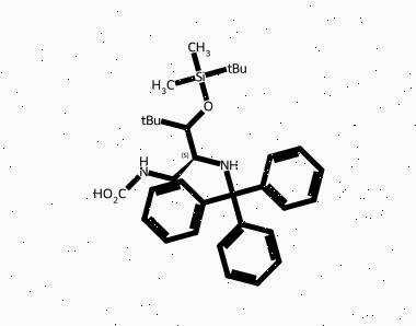 CC(C)(C)C(O[Si](C)(C)C(C)(C)C)[C@H](CNC(=O)O)NC(c1ccccc1)(c1ccccc1)c1ccccc1